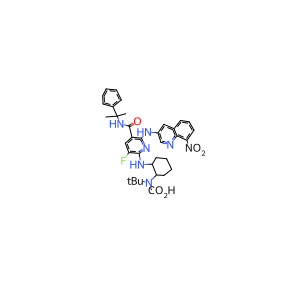 CC(C)(NC(=O)c1cc(F)c(NC2CCCCC2N(C(=O)O)C(C)(C)C)nc1Nc1cnc2c([N+](=O)[O-])cccc2c1)c1ccccc1